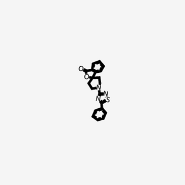 O=C1OC2(CCN(c3nsc(-c4ccccc4)n3)CC2)c2ccccc21